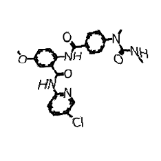 CNC(=O)N(C)c1ccc(C(=O)Nc2ccc(OC)cc2C(=O)Nc2ccc(Cl)cn2)cc1